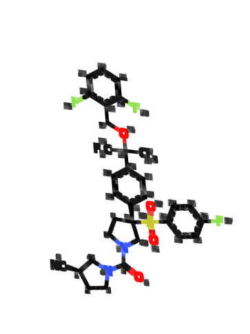 N#C[C@@H]1CCN(C(=O)N2CC[C@](c3ccc(C(OCc4c(F)cccc4F)(C(F)(F)F)C(F)(F)F)cc3)(S(=O)(=O)c3ccc(F)cc3)C2)C1